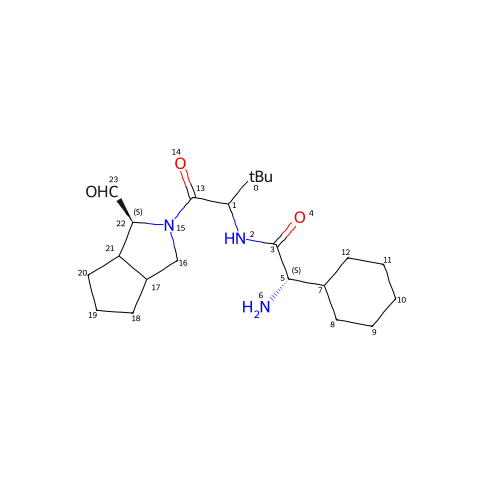 CC(C)(C)C(NC(=O)[C@@H](N)C1CCCCC1)C(=O)N1CC2CCCC2[C@H]1C=O